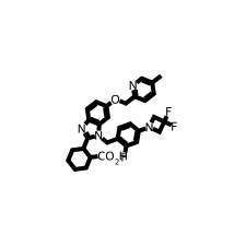 Cc1ccc(COc2ccc3nc(C4CCCCC4C(=O)O)n(Cc4ccc(N5CC(F)(F)C5)cc4F)c3c2)nc1